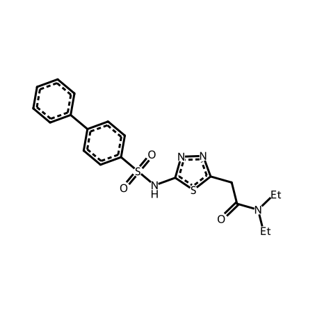 CCN(CC)C(=O)Cc1nnc(NS(=O)(=O)c2ccc(-c3ccccc3)cc2)s1